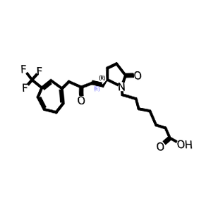 O=C(O)CCCCCCN1C(=O)CC[C@@H]1/C=C/C(=O)CC1=CCC=CC(C(F)(F)F)=C1